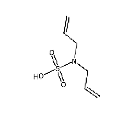 C=CCN(CC=C)S(=O)(=O)O